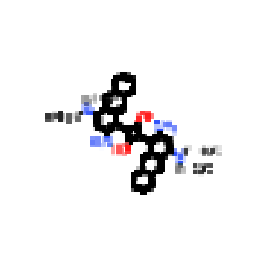 CCCCCCCN(CCCCCCC)c1cc(N)c(C2C(O)C(c3c(N)cc(N(CCCCCCC)CCCCCCC)c4cc5ccccc5cc34)C2O)c2cc3ccccc3cc12